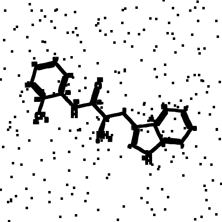 N[C@H](Cc1c[nH]c2ccccc12)C(=O)Nc1ccccc1C(F)(F)F